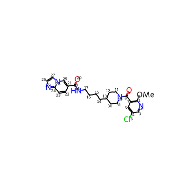 COc1ncc(Cl)cc1C(=O)N1CCC(CCCCNC(=O)c2ccc3nccn3c2)CC1